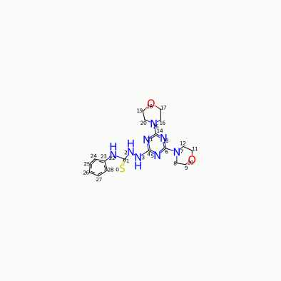 S=C(NNc1nc(N2CCOCC2)nc(N2CCOCC2)n1)Nc1ccccc1